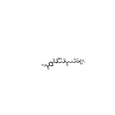 CCC(C)(C)CCCSCCNC(=O)CCC/C(=C/Nc1ccc(C(N)=O)cc1)N=N